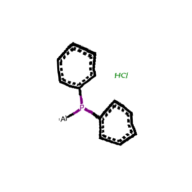 Cl.[Al][P](c1ccccc1)c1ccccc1